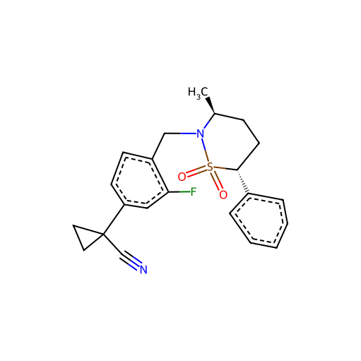 C[C@H]1CC[C@H](c2ccccc2)S(=O)(=O)N1Cc1ccc(C2(C#N)CC2)cc1F